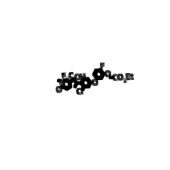 CCOC(=O)COc1cc(Oc2ccc(C(C)C(O)(c3ccc(=O)n(C)c3)C(F)(F)F)c(Cl)c2)ccc1F